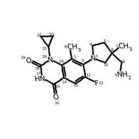 Cc1c(N2CCC(C)(CN)C2)c(F)cc2c(=O)[nH]c(=O)n(C3CC3)c12